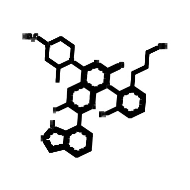 CC(C)c1cccc(CCCO)c1-n1c(=O)nc(N2CCN(C(=O)O)CC2C)c2cc(F)c(-c3cccc4cn[nH]c34)nc21